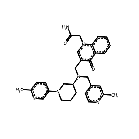 Cc1ccc(N2CCC[C@H](N(Cc3ccnc(C)c3)Cc3cn(CC(N)=O)c4ccccc4c3=O)C2)cn1